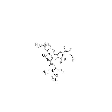 C=CC(=O)N1C(C)CN(c2nc(=O)n3c4c(c(/C=C/C(Cl)=C(F)\C=C\F)c(C(F)(F)F)cc24)SCC3CN(C)C)CC1C